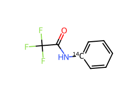 O=C(N[14c]1ccccc1)C(F)(F)F